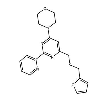 c1ccc(-c2nc(CSCc3ccco3)cc(N3CCOCC3)n2)nc1